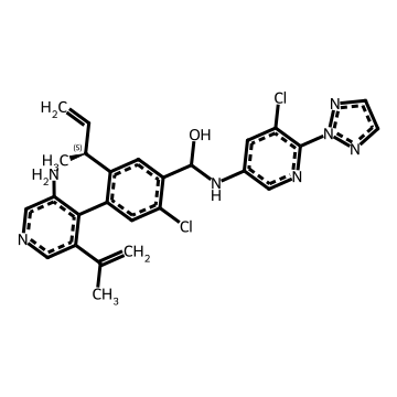 C=C[C@H](C)c1cc(C(O)Nc2cnc(-n3nccn3)c(Cl)c2)c(Cl)cc1-c1c(N)cncc1C(=C)C